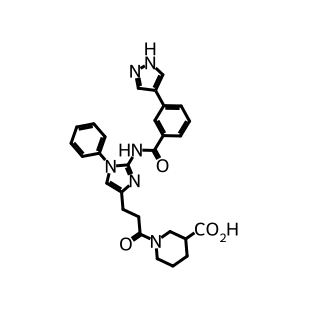 O=C(Nc1nc(CCC(=O)N2CCCC(C(=O)O)C2)cn1-c1ccccc1)c1cccc(-c2cn[nH]c2)c1